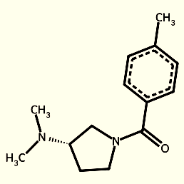 Cc1ccc(C(=O)N2CC[C@H](N(C)C)C2)cc1